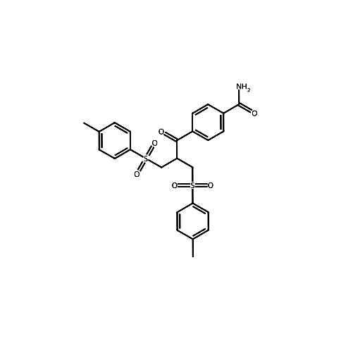 Cc1ccc(S(=O)(=O)CC(CS(=O)(=O)c2ccc(C)cc2)C(=O)c2ccc(C(N)=O)cc2)cc1